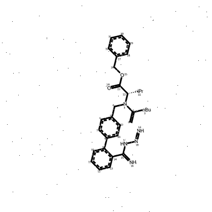 C=C(CCCC)N(Cc1ccc(-c2ccccc2C(=N)NN=N)cc1)[C@H](C(=O)OCc1ccccc1)C(C)C